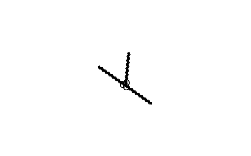 CCCCCCCCCCCCCCCOP(OCCCCCCCCCCCCCCC)OCCCCCCCCCCCCCCC